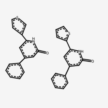 O=c1cc(-c2ccccc2)cc(-c2cccs2)[nH]1.O=c1cc(-c2ccccc2)cc(-c2ccsc2)[nH]1